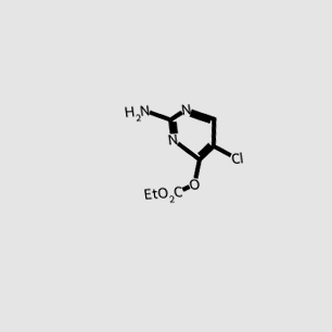 CCOC(=O)Oc1nc(N)ncc1Cl